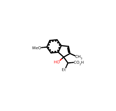 CCC(C(=O)O)C1(O)C(C)=Cc2ccc(OC)cc21